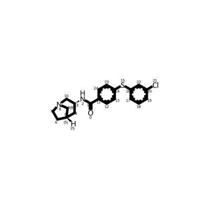 O=C(N[C@@H]1C[C@@H]2CCN(C2)C1)c1ccc(Sc2cccc(Cl)c2)cc1